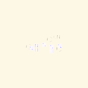 CC(NCCN(CCNCc1ccccn1)Cc1ccc(C#N)cc1)c1ccccn1